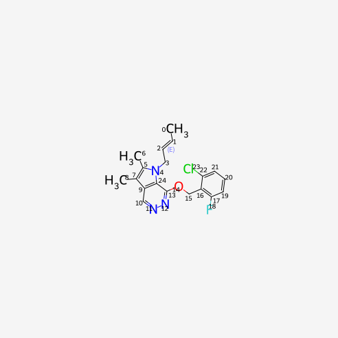 C/C=C/Cn1c(C)c(C)c2cnnc(OCc3c(F)cccc3Cl)c21